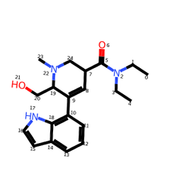 CCN(CC)C(=O)C1C=C(c2cccc3cc[nH]c23)C(CO)N(C)C1